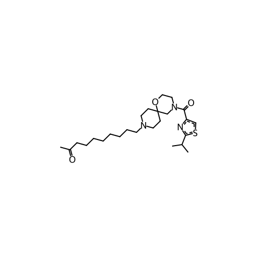 CC(=O)CCCCCCCCN1CCC2(CC1)CN(C(=O)c1csc(C(C)C)n1)CCO2